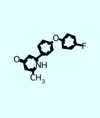 Cc1cc(=O)cc(-c2ccc(Oc3ccc(F)cc3)cc2)[nH]1